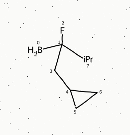 BC(F)(CC1CC1)C(C)C